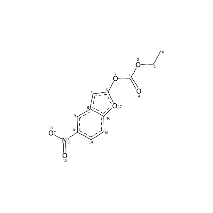 CCOC(=O)Oc1cc2cc([N+](=O)[O-])ccc2o1